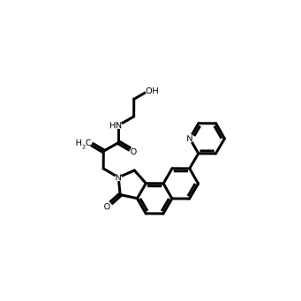 C=C(CN1Cc2c(ccc3ccc(-c4ccccn4)cc23)C1=O)C(=O)NCCO